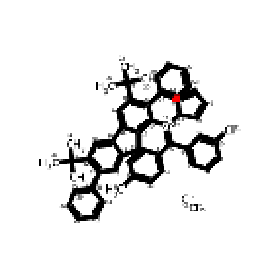 Cc1ccc([C](c2cccc(Cl)c2)=[Zr+2]([c]2c3c(cc(C(C)(C)C)c2-c2ccccc2)-c2cc(C(C)(C)C)c(-c4ccccc4)cc2C3)[CH]2C=CC=C2)cc1.[Cl-].[Cl-]